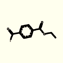 CCOC(=O)c1ccc(C(=O)I)cc1